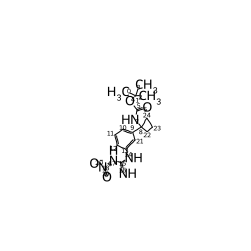 CC(C)(C)OC(=O)NC1(c2cccc(NC(=N)N[N+](=O)[O-])c2)CCC1